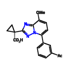 COc1ccc(-c2cccc(C(C)=O)c2)n2nc(C3(C(=O)O)CC3)nc12